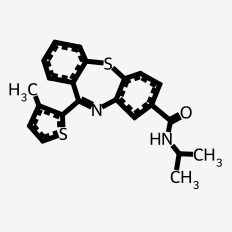 Cc1ccsc1C1=Nc2cc(C(=O)NC(C)C)ccc2Sc2ccccc21